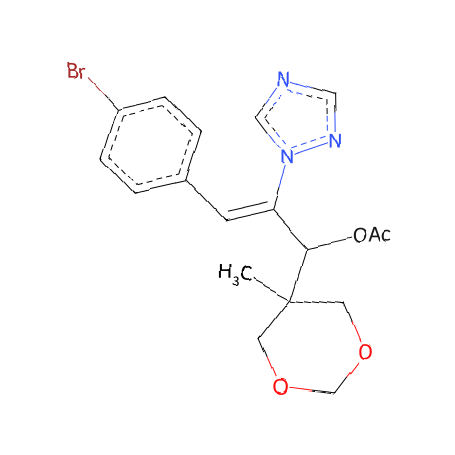 CC(=O)OC(/C(=C/c1ccc(Br)cc1)n1cncn1)C1(C)COCOC1